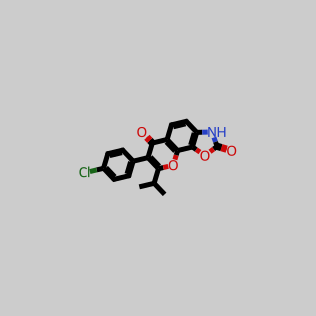 CC(C)c1oc2c(ccc3[nH]c(=O)oc32)c(=O)c1-c1ccc(Cl)cc1